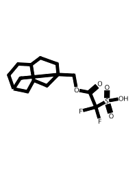 O=C(OCC12CCC3CCC(CC3C1)C2)C(F)(F)S(=O)(=O)O